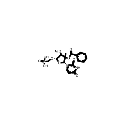 CC(=O)OC1[C@@H](OCP(=O)(O)O)O[C@@H](n2ccc(=O)[nH]c2=O)C1(C)OC(=O)c1ccccc1